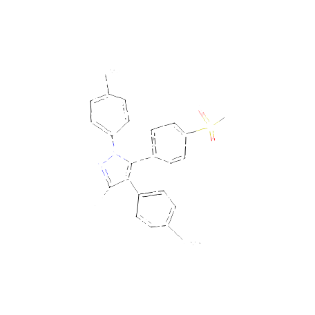 COc1ccc(-c2c(C(F)(F)F)nn(-c3ccc(OC)cc3)c2-c2ccc(S(C)(=O)=O)cc2)cc1